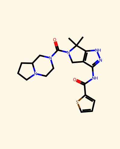 CC1(C)c2[nH]nc(NC(=O)c3cccs3)c2CN1C(=O)N1CCN2CCCC2C1